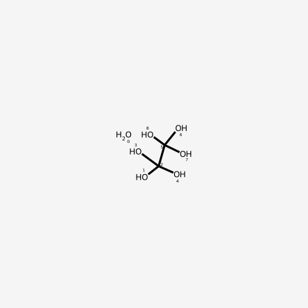 O.OC(O)(O)C(O)(O)O